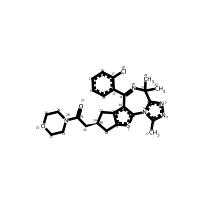 Cc1nnc2n1-c1sc3c(c1C(c1ccccc1Cl)=NC2(C)C)C[C@H](CC(=O)N1CCOCC1)C3